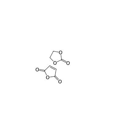 O=C1C=CC(=O)O1.O=C1OCCO1